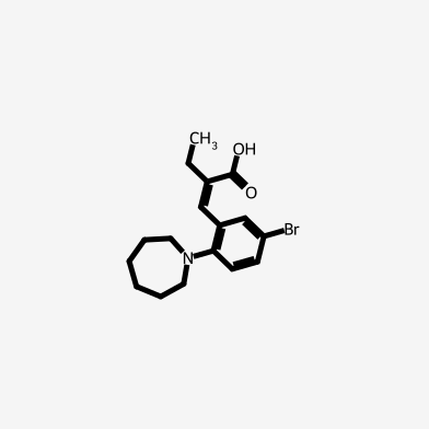 CCC(=Cc1cc(Br)ccc1N1CCCCCC1)C(=O)O